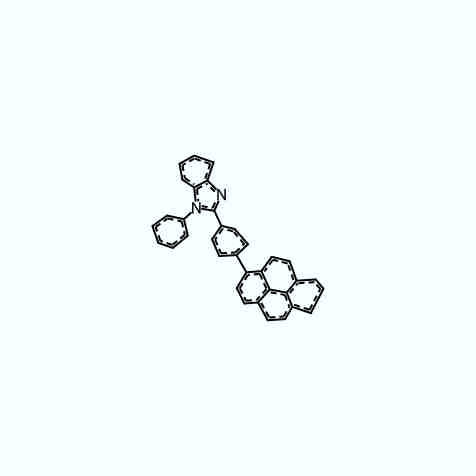 c1ccc(-n2c(-c3ccc(-c4ccc5ccc6cccc7ccc4c5c67)cc3)nc3ccccc32)cc1